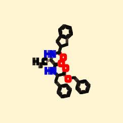 C[C@H](NC(=O)C1Cc2ccccc2C1)C(=O)NC(Cc1ccccc1)C(=O)OCc1ccccc1